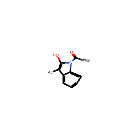 CCCCCCCCCC(=O)n1c(O)c(C(C)=O)c2ccccc21